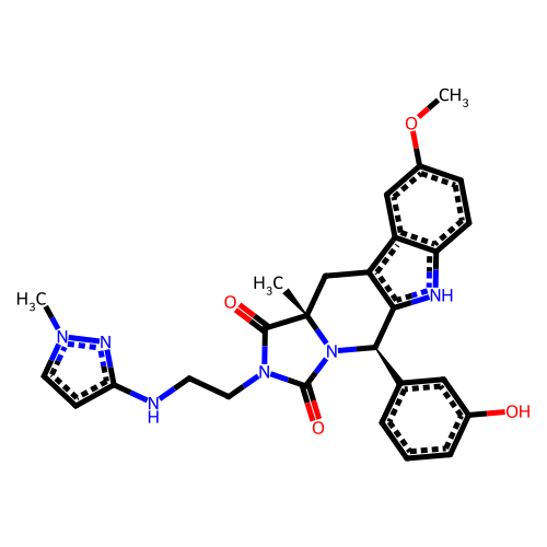 COc1ccc2[nH]c3c(c2c1)C[C@@]1(C)C(=O)N(CCNc2ccn(C)n2)C(=O)N1[C@@H]3c1cccc(O)c1